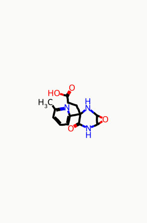 Cc1cccc(C2(CCC(=O)O)NC3OC3NC2=O)n1